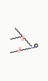 CCCCCCCCC(CCCCCCC)OC(=O)CCCCCCCN(CCCCCCCC(=O)OCCCCCC)Cc1ccccc1